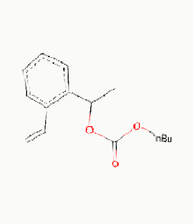 C=Cc1ccccc1C(C)OC(=O)OCCCC